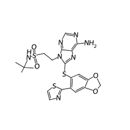 CC(C)(C)NS(=O)(=O)CCn1c(Sc2cc3c(cc2-c2nccs2)OCO3)nc2c(N)ncnc21